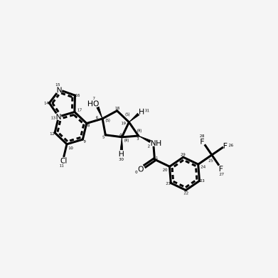 O=C(N[C@H]1[C@@H]2C[C@](O)(c3cc(Cl)cn4cncc34)C[C@@H]21)c1cccc(C(F)(F)F)c1